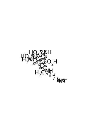 C=C(NCCCCCCN=[N+]=[N-])c1ccc(-c2c3ccc(=N)c(S(=O)(=O)O)c-3oc3c(S(=O)(=O)O)c(N)ccc23)c(C(=O)O)c1